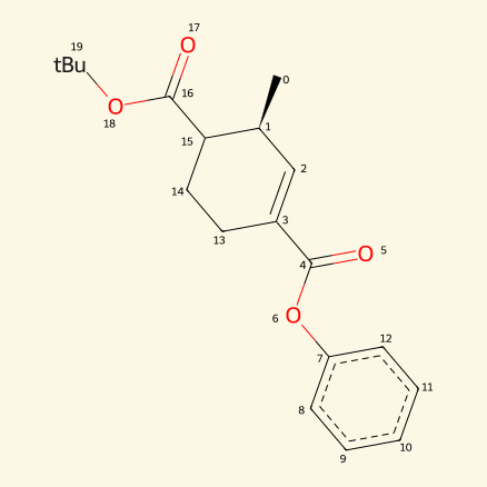 C[C@H]1C=C(C(=O)Oc2ccccc2)CCC1C(=O)OC(C)(C)C